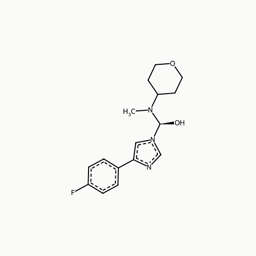 CN(C1CCOCC1)[C@@H](O)n1cnc(-c2ccc(F)cc2)c1